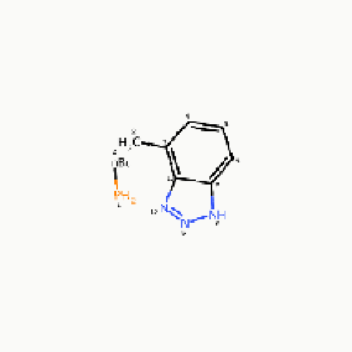 CCCCP.Cc1cccc2[nH]nnc12